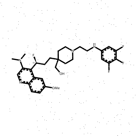 COc1ccc2ncc(N(C)C)c([C@@H](F)CCC3(CO)CCN(CCNc4cc(F)c(F)c(F)c4)CC3)c2c1